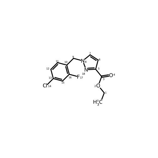 CCOC(=O)c1ccn(Cc2ccc(Cl)cc2F)n1